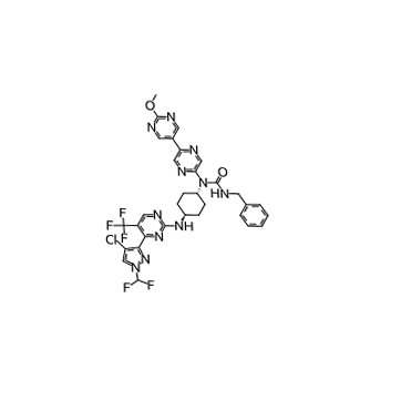 COc1ncc(-c2cnc(N(C(=O)NCc3ccccc3)[C@H]3CC[C@H](Nc4ncc(C(F)(F)F)c(-c5nn(C(F)F)cc5Cl)n4)CC3)cn2)cn1